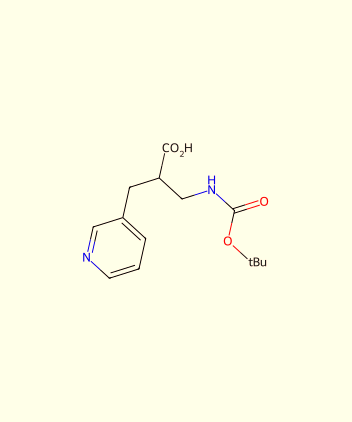 CC(C)(C)OC(=O)NCC(Cc1cccnc1)C(=O)O